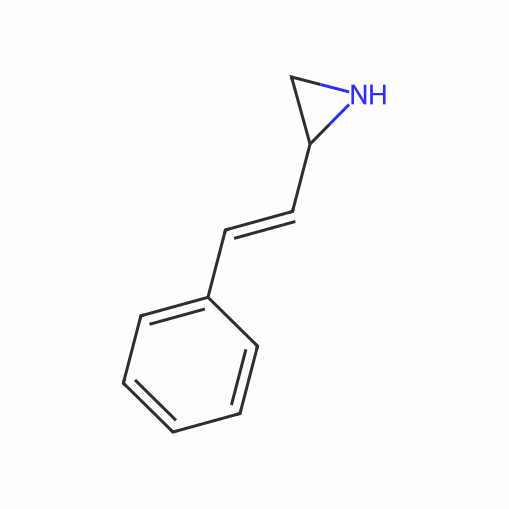 C(=CC1CN1)c1ccccc1